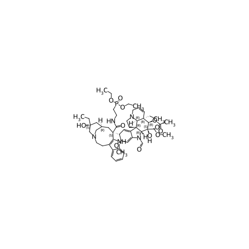 CCOP(=O)(CCNC(=O)[C@]1(C2C=C3C(=CC2OC)N(C=O)[C@H]2[C@@](O)(C(=O)OC)[C@H](OC(C)=O)[C@]4(CC)C=CCN5CC[C@]32[C@@H]54)C[C@H]2CN(CCc3c1[nH]c1ccccc31)C[C@](O)(CC)C2)OCC